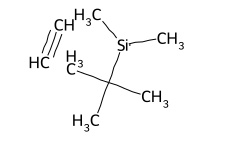 C#C.C[Si](C)C(C)(C)C